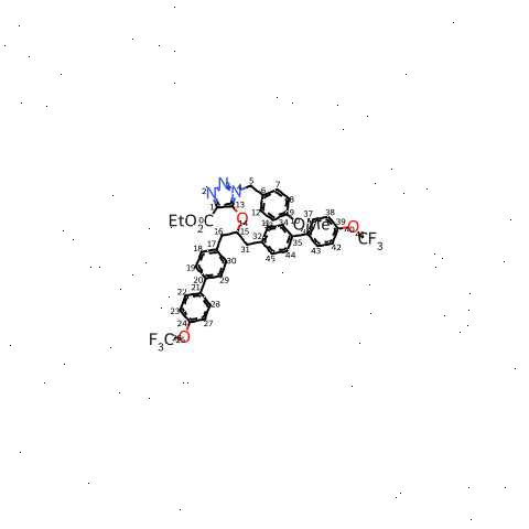 CCOC(=O)c1nnn(Cc2ccc(OC)cc2)c1OC(Cc1ccc(-c2ccc(OC(F)(F)F)cc2)cc1)Cc1ccc(-c2ccc(OC(F)(F)F)cc2)cc1